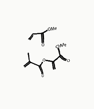 C=C(C)C(=O)OC(=C)C(=O)OC.C=CC(=O)OC